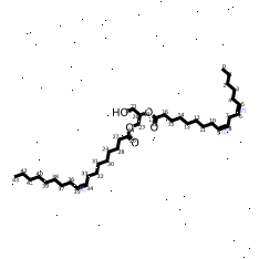 CCCCC/C=C\C/C=C\CCCCCCCC(=O)OC(CO)COC(=O)CCCCCCC/C=C\CCCCCCCC